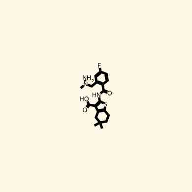 CN(N)Cc1cc(F)ccc1C(=O)Nc1sc2c(c1C(=O)O)CC(C)(C)CC2